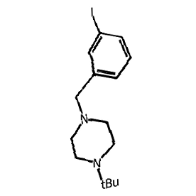 CC(C)(C)N1CCN(Cc2cccc(I)c2)CC1